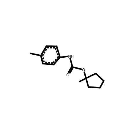 Cc1ccc(NC(=O)OC2(C)CCCC2)cc1